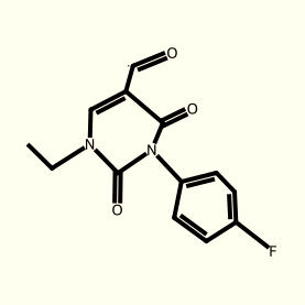 CCn1cc([C]=O)c(=O)n(-c2ccc(F)cc2)c1=O